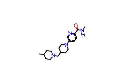 CNC(=O)c1ccc(N2CCC(CN3CCC(C)CC3)CC2)cn1